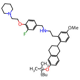 COc1ccc(C2CCc3cc(O[Si](C)(C)C(C)(C)C)ccc3C2)c(CCNCc2ccc(OCCN3CCCCC3)c(F)c2)c1